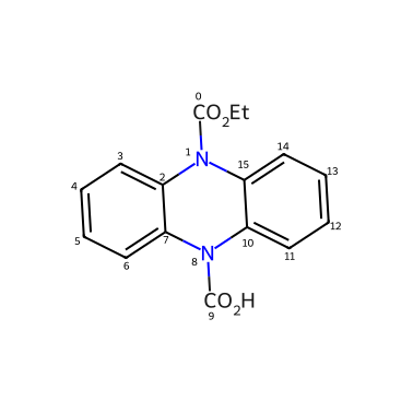 CCOC(=O)N1c2ccccc2N(C(=O)O)c2ccccc21